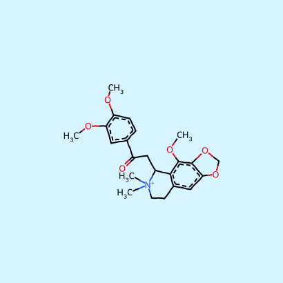 COc1ccc(C(=O)CC2c3c(cc4c(c3OC)OCO4)CC[N+]2(C)C)cc1OC